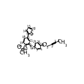 CC#CCOc1ccc(Sc2cc(-c3cccs3)ccc2OC(C)=O)cc1